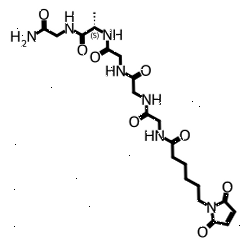 C[C@H](NC(=O)CNC(=O)CNC(=O)CNC(=O)CCCCCN1C(=O)C=CC1=O)C(=O)NCC(N)=O